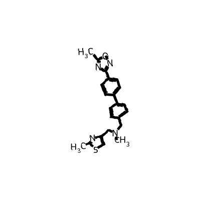 Cc1nc(-c2ccc(-c3ccc(CN(C)Cc4csc(C)n4)cc3)cc2)no1